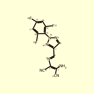 N#CC(N)=C(C#N)N=Cc1cnn(-c2c(F)cc(F)cc2F)n1